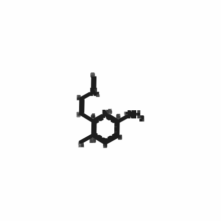 C=N/C=C\c1nc(N)ccc1C